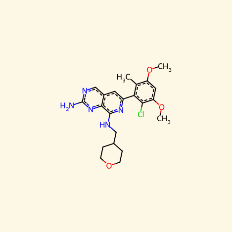 COc1cc(OC)c(Cl)c(-c2cc3cnc(N)nc3c(NCC3CCOCC3)n2)c1C